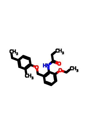 CCOc1cccc(COc2ccc(CC)cc2C)c1NC(=O)CC